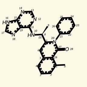 Cc1cccc2cc([C@H](C)Nc3ncnc4[nH]cnc34)n(-c3ccccc3)c(=O)c12